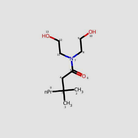 CCCC(C)(C)CC(=O)N(CCO)CCO